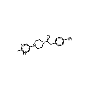 Cc1ncc(N2CCN(C(=O)Cc3ccc(C(C)C)cc3)CC2)cn1